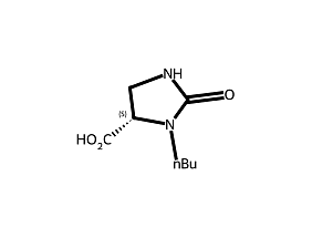 CCCCN1C(=O)NC[C@H]1C(=O)O